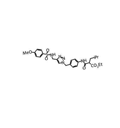 CCOC(=O)C(CC(C)C)C(=O)Nc1ccc(Cn2cc(CNS(=O)(=O)c3ccc(OC)cc3)nn2)cc1